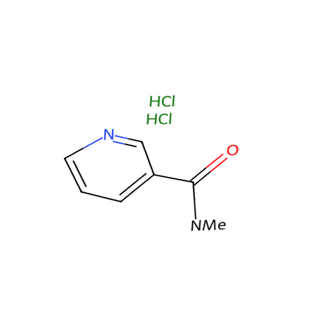 CNC(=O)c1cccnc1.Cl.Cl